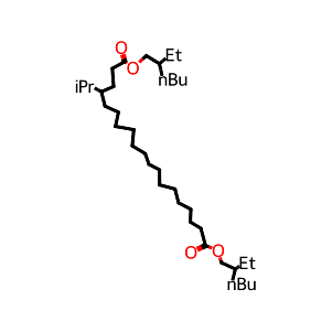 CCCCC(CC)COC(=O)CCCCCCCCCCCCCCC(CCC(=O)OCC(CC)CCCC)C(C)C